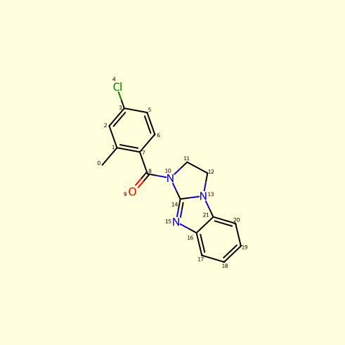 Cc1cc(Cl)ccc1C(=O)N1CCn2c1nc1ccccc12